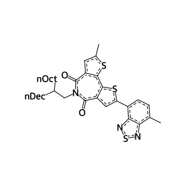 CCCCCCCCCCC(CCCCCCCC)Cn1c(=O)c2cc(C)sc2c2sc(-c3ccc(C)c4nsnc34)cc2c1=O